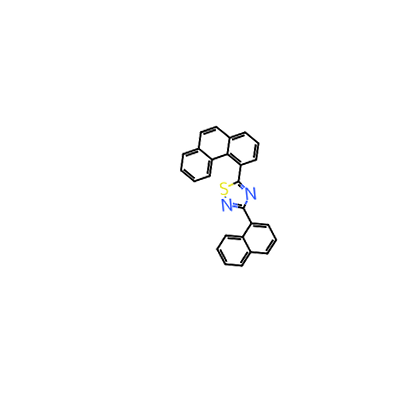 c1ccc2c(-c3nsc(-c4cccc5ccc6ccccc6c45)n3)cccc2c1